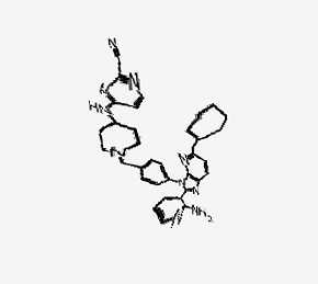 N#Cc1nccc(NC2CCN(Cc3ccc(-n4c(-c5cccnc5N)nc5ccc(C6CCCCC6)nc54)cc3)CC2)n1